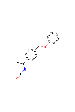 C[C@H](N=C=O)c1ccc(COc2ccccc2)cc1